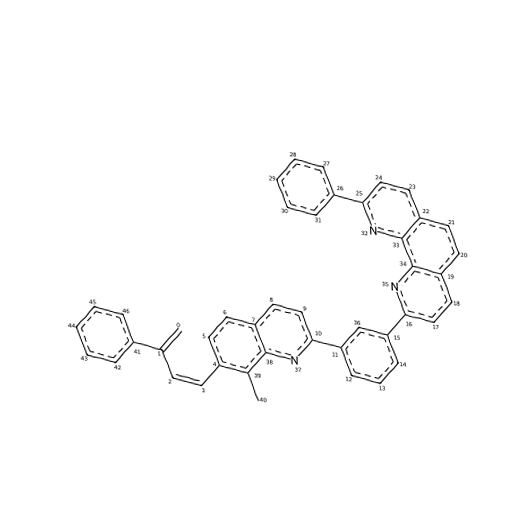 C=C(/C=C\c1ccc2ccc(-c3cccc(-c4ccc5ccc6ccc(-c7ccccc7)nc6c5n4)c3)nc2c1C)c1ccccc1